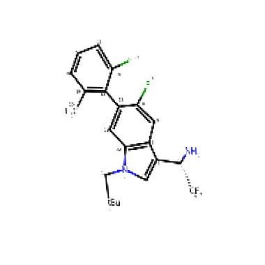 CC(C)(C)Cn1cc([C@H](N)C(F)(F)F)c2cc(F)c(-c3c(F)cccc3C(F)(F)F)cc21